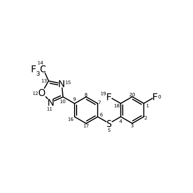 Fc1ccc(Sc2ccc(-c3noc(C(F)(F)F)n3)cc2)c(F)c1